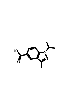 Cc1nn(C(C)C)c2ccc(C(=O)O)cc12